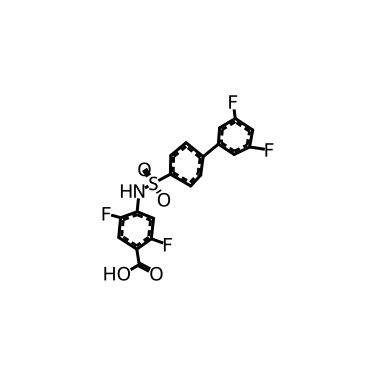 O=C(O)c1cc(F)c(NS(=O)(=O)c2ccc(-c3cc(F)cc(F)c3)cc2)cc1F